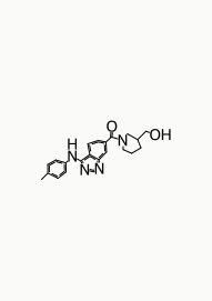 Cc1ccc(Nc2ncnc3cc(C(=O)N4CCCC(CO)C4)ccc23)cc1